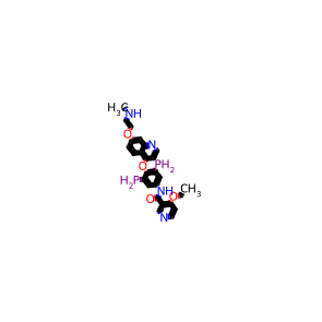 CCOc1ccncc1C(=O)Nc1cc(P)c(Oc2ccnc3cc(OCCNC)ccc23)c(P)c1